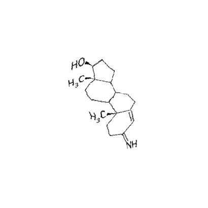 C[C@]12CCC(=N)C=C1CCC1C2CC[C@@]2(C)C1CC[C@@H]2O